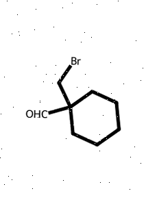 O=CC1(CBr)CCCCC1